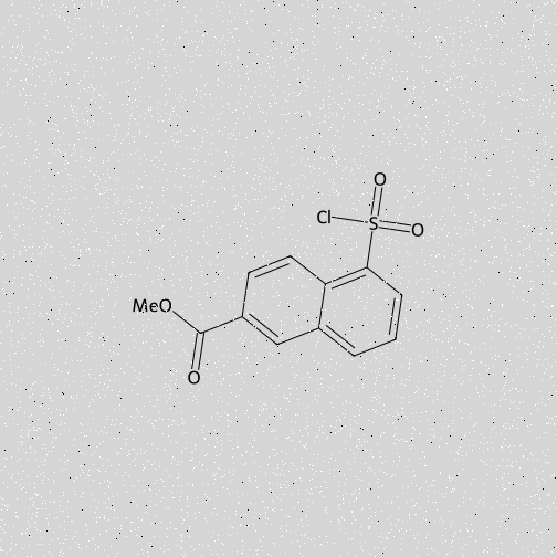 COC(=O)c1ccc2c(S(=O)(=O)Cl)cccc2c1